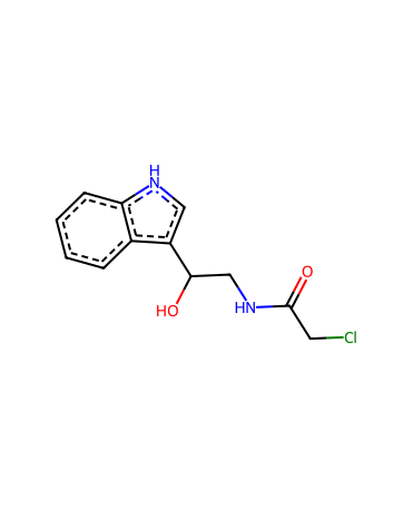 O=C(CCl)NCC(O)c1c[nH]c2ccccc12